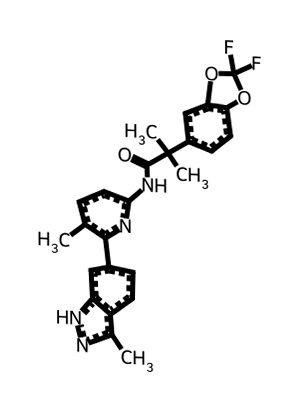 Cc1ccc(NC(=O)C(C)(C)c2ccc3c(c2)OC(F)(F)O3)nc1-c1ccc2c(C)n[nH]c2c1